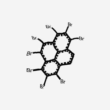 Brc1c(Br)c2ccc3c(Br)c(Br)c(Br)c4c(Br)c(Br)c(c1Br)c2c34